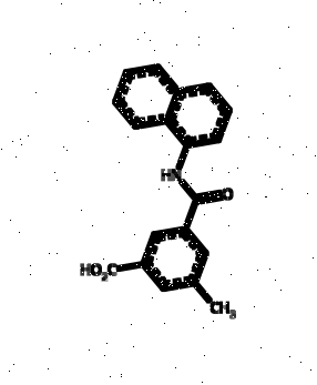 Cc1cc(C(=O)O)cc(C(=O)Nc2cccc3ccccc23)c1